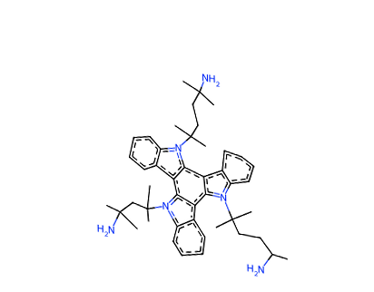 CC(N)CCC(C)(C)n1c2ccccc2c2c1c1c3ccccc3n(C(C)(C)CC(C)(C)N)c1c1c3ccccc3n(C(C)(C)CCC(C)(C)N)c21